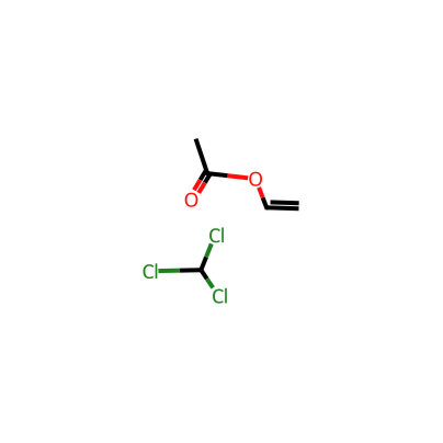 C=COC(C)=O.ClC(Cl)Cl